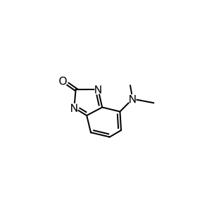 CN(C)c1cccc2c1=NC(=O)N=2